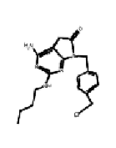 CCCCNc1nc(N)c2c(n1)N(Cc1ccc(CCl)cc1)C(=O)C2